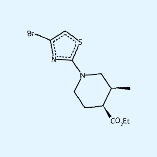 CCOC(=O)[C@H]1CCN(c2nc(Br)cs2)C[C@H]1C